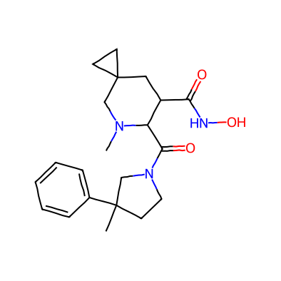 CN1CC2(CC2)CC(C(=O)NO)C1C(=O)N1CCC(C)(c2ccccc2)C1